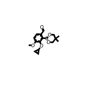 COc1ccc(C=O)c(B2OCC(C)(C)CO2)c1OC1CC1